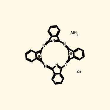 [AlH3].[Zn].c1ccc2c(c1)-c1nc-2nc2[nH]c(nc3nc(nc4[nH]c(n1)c1ccccc41)-c1ccccc1-3)c1ccccc21